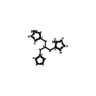 c1ccn(C[C](Cc2c[nH]nn2)Cc2nnn[nH]2)c1